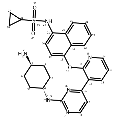 N[C@H]1CC[C@H](Nc2nccc(-c3cccnc3Oc3ccc(NS(=O)(=O)C4CC4)c4ccccc34)n2)CC1